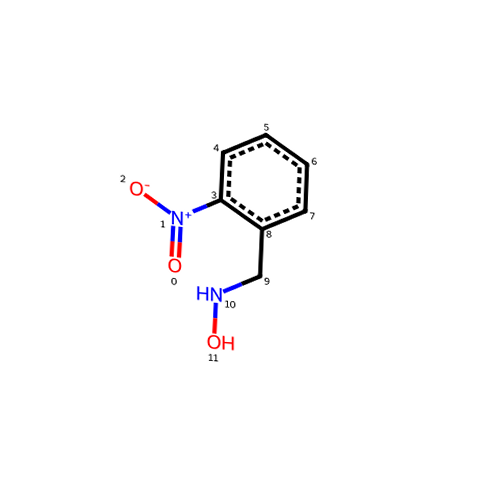 O=[N+]([O-])c1ccccc1CNO